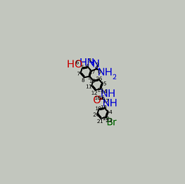 Nc1n[nH]c2c(O)ccc(-c3ccc(NC(=O)Nc4cccc(Br)c4)cc3)c12